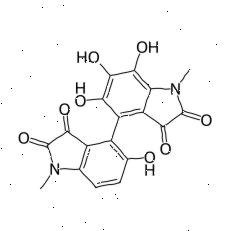 CN1C(=O)C(=O)c2c1ccc(O)c2-c1c(O)c(O)c(O)c2c1C(=O)C(=O)N2C